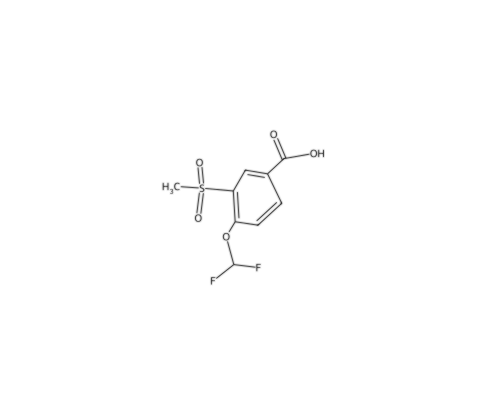 CS(=O)(=O)c1cc(C(=O)O)ccc1OC(F)F